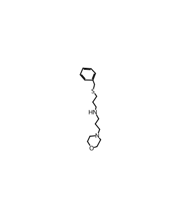 c1ccc(CSCCCNCCCN2CCOCC2)cc1